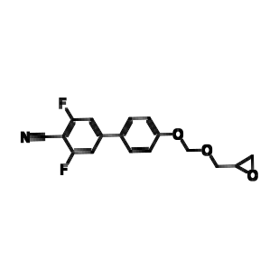 N#Cc1c(F)cc(-c2ccc(OCOCC3CO3)cc2)cc1F